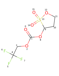 O=C(OCC(F)(F)F)OC1CCOS1(=O)=O